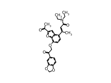 CCN(CC)C(=O)C=C(C)c1ccc(OCC(=O)c2ccc3c(c2)OCO3)c2oc(C(C)=O)cc12